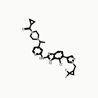 CC(c1ccnc(Nc2nc3ccc(-c4cnn(CC5CC5(F)F)c4)c(Cl)c3[nH]2)c1)N1CCN(C(=O)C2CC2)CC1